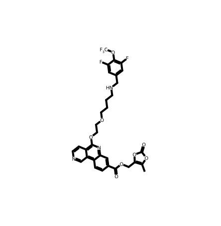 Cc1oc(=O)oc1COC(=O)c1ccc2c(c1)nc(OCCOCCCCNCc1cc(F)c(OC(F)(F)F)c(F)c1)c1ccncc12